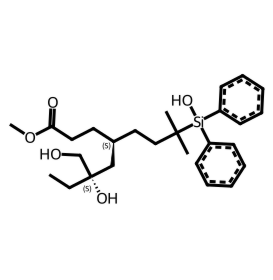 CC[C@@](O)(CO)C[C@@H](CCC(=O)OC)CCC(C)(C)[Si](O)(c1ccccc1)c1ccccc1